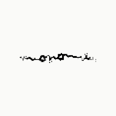 C=CC(=O)OCCCCCCCc1ccc(C=CC(=O)Oc2ccc(OCCCCC)cc2)cc1